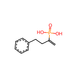 C=C(CCc1ccccc1)P(=O)(O)O